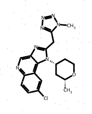 C[C@@H]1C[C@H](n2c(Cc3nnnn3C)nc3cnc4ccc(Cl)cc4c32)CCO1